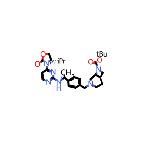 CC(C)[C@H]1COC(=O)N1c1ccnc(N[C@@H](C)c2ccc(CN3CCC4CN(C(=O)OC(C)(C)C)C4C3)cc2)n1